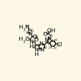 C[C@@H](NC(=O)c1c[nH]c2ncc(-c3nn(CC(=O)O)c4cc(Cl)ccc34)nc12)C(=O)N1CC(N)C1